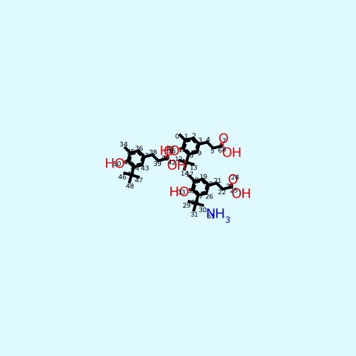 Cc1cc(CCC(=O)O)cc(C(C)(C)C)c1O.Cc1cc(CCC(=O)O)cc(C(C)(C)C)c1O.Cc1cc(CCC(=O)O)cc(C(C)(C)C)c1O.N